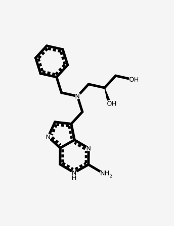 Nc1nc2c(CN(Cc3ccccc3)C[C@H](O)CO)cnc-2c[nH]1